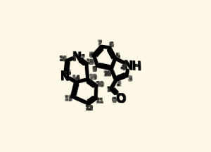 O=Cc1c[nH]c2ccccc12.c1ccc2ncncc2c1